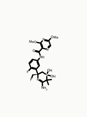 COc1cnc(C(=O)Nc2ccc(F)c([C@]3(CF)CS(O)(O)C(C)(C)C(N)=N3)c2)c(OC)n1